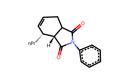 CCC[C@@H]1C=CCC2C(=O)N(c3ccccc3)C(=O)[C@@H]21